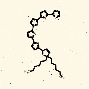 CCCCCCC1(CCCCCC)C=CC(c2ccc(-c3ccc(-c4ccc(-c5ccc(-c6cccs6)s5)s4)s3)s2)S1